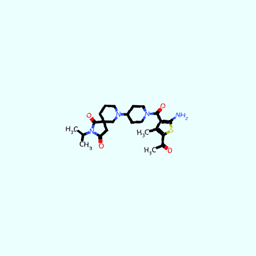 CC(=O)c1sc(N)c(C(=O)N2CCC(N3CCCC4(CC(=O)N(C(C)C)C4=O)C3)CC2)c1C